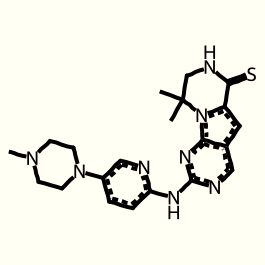 CN1CCN(c2ccc(Nc3ncc4cc5n(c4n3)C(C)(C)CNC5=S)nc2)CC1